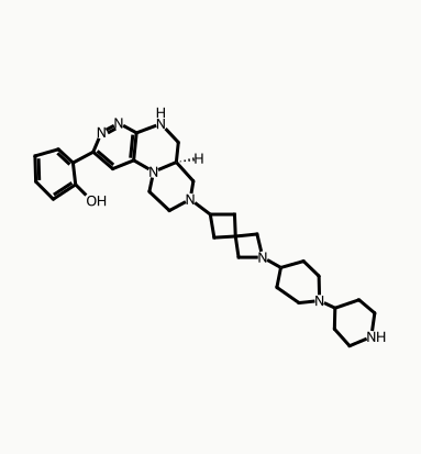 Oc1ccccc1-c1cc2c(nn1)NC[C@H]1CN(C3CC4(C3)CN(C3CCN(C5CCNCC5)CC3)C4)CCN21